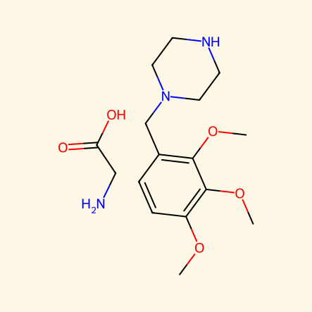 COc1ccc(CN2CCNCC2)c(OC)c1OC.NCC(=O)O